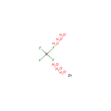 F[B-](F)(F)F.O.O.O.O.O.O.[Zn]